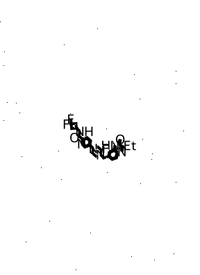 CCc1nc2ccc(CN3CCN(c4ccc(C(=O)NC5CC(F)(F)C5)nc4)CC3)c(F)c2[nH]c1=O